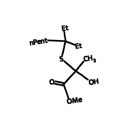 CCCCCC(CC)(CC)SC(C)(O)C(=O)OC